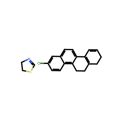 C1=NCCS1.Clc1ccc2c3c(ccc2c1)C1=C(CCC=C1)CC3